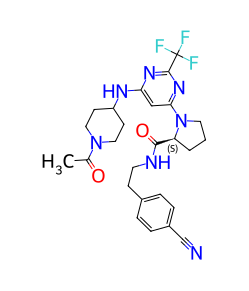 CC(=O)N1CCC(Nc2cc(N3CCC[C@H]3C(=O)NCCc3ccc(C#N)cc3)nc(C(F)(F)F)n2)CC1